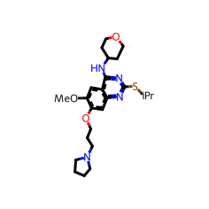 COc1cc2c(NC3CCOCC3)nc(SC(C)C)nc2cc1OCCCN1CCCC1